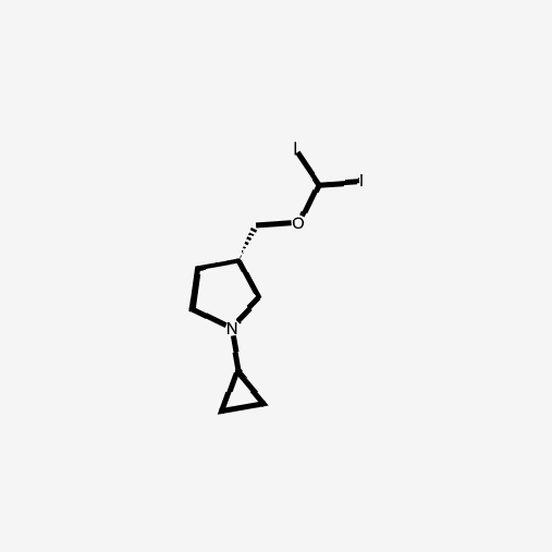 IC(I)OC[C@H]1CCN(C2CC2)C1